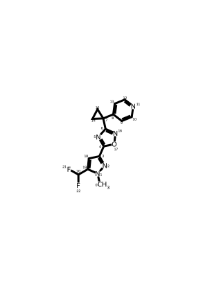 Cn1nc(-c2nc(C3(c4ccncc4)CC3)no2)cc1C(F)F